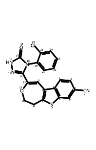 N#Cc1ccc2c3c(sc2c1)CCOC(c1n[nH]c(=O)n1-c1ccccc1Cl)=C3